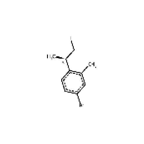 Cc1cc(Br)ccc1[C@@H](C)CI